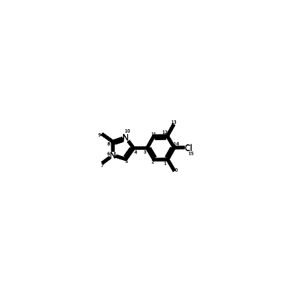 Cc1cc(-c2cn(C)c(C)n2)cc(C)c1Cl